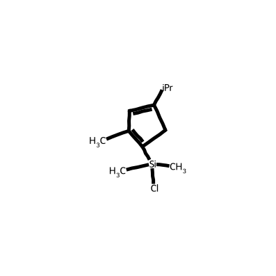 CC1=C([Si](C)(C)Cl)CC(C(C)C)=C1